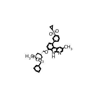 Cc1cnc2[nH]c3c(OC[C@H](COCc4ccccc4)CN(C)C)ccc(-c4cccc(S(=O)(=O)C5CC5)c4)c3c2c1